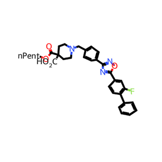 CCCCCOC(=O)C1(C(=O)O)CCN(Cc2ccc(-c3noc(-c4ccc(-c5ccccc5)c(F)c4)n3)cc2)CC1